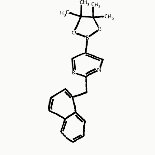 CC1(C)OB(c2cnc(Cc3cccc4ccccc34)nc2)OC1(C)C